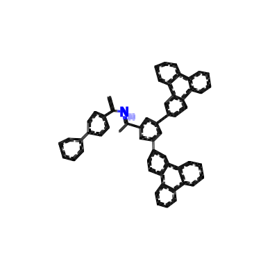 C=C(/N=C(\C)c1cc(-c2ccc3c4ccccc4c4ccccc4c3c2)cc(-c2ccc3c4ccccc4c4ccccc4c3c2)c1)c1ccc(-c2ccccc2)cc1